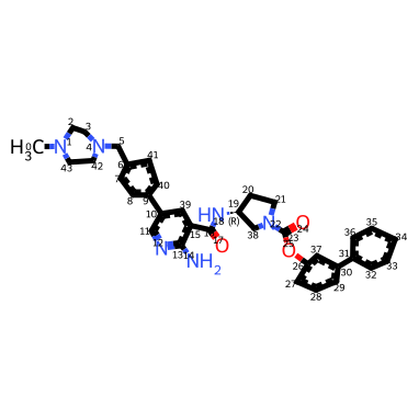 CN1CCN(Cc2ccc(-c3cnc(N)c(C(=O)N[C@@H]4CCN(C(=O)Oc5cccc(-c6ccccc6)c5)C4)c3)cc2)CC1